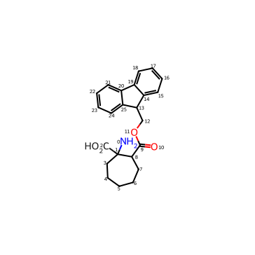 NC1(C(=O)O)CCCCCC1C(=O)OCC1c2ccccc2-c2ccccc21